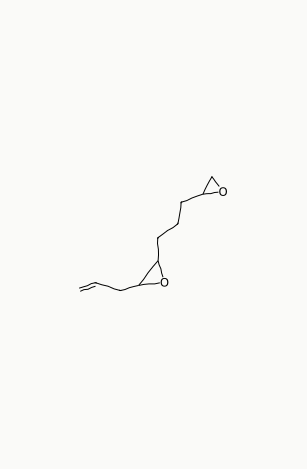 C=CCC1OC1CCCC1CO1